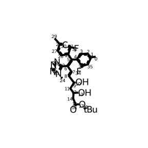 Cc1ccc(C(=C(C=CC(O)CC(O)CC(=O)OC(C)(C)C)c2nnnn2C)c2ccc(C)cc2F)c(F)c1